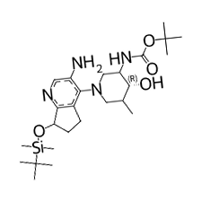 CC1CN(c2c(N)cnc3c2CCC3O[Si](C)(C)C(C)(C)C)CC(NC(=O)OC(C)(C)C)[C@@H]1O